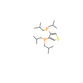 CC(C)CP(CC(C)C)c1cscc1P(CC(C)C)CC(C)C